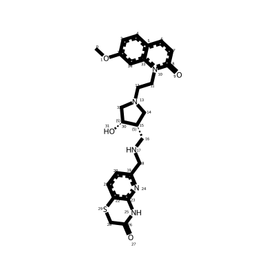 COc1ccc2ccc(=O)n(CCN3C[C@H](CNCc4ccc5c(n4)NC(=O)CS5)[C@H](O)C3)c2c1